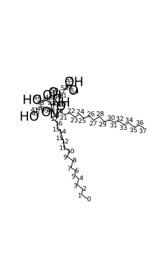 CCCCCCCCCCCCCCCCCCN(C(=O)CCCCCCCCCCCCCCCCC)[C@@H]1O[C@H](CO)[C@H](O)[C@H](O)[C@H]1NC(=O)CCC(=O)O